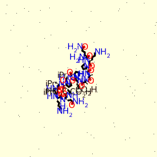 CC(C)C[C@H](NC(=O)[C@@H]1CCCN1C(=O)[C@@H](NC(=O)[C@@H]1CCCN1C(=O)[C@H](CCC(=O)O)NC(=O)[C@H](C)NC(=O)[C@H](C)NC(=O)[C@@H]1CCCN1C(=O)[C@H](CCCCN)NC(=O)[C@@H](N)CCC(N)=O)C(C)C)C(=O)N[C@H](C(=O)N[C@@H](CCCCN)C(=O)N[C@@H](CCC(N)=O)C(=O)N[C@@H](CC(=O)O)C(=O)O)C(C)C